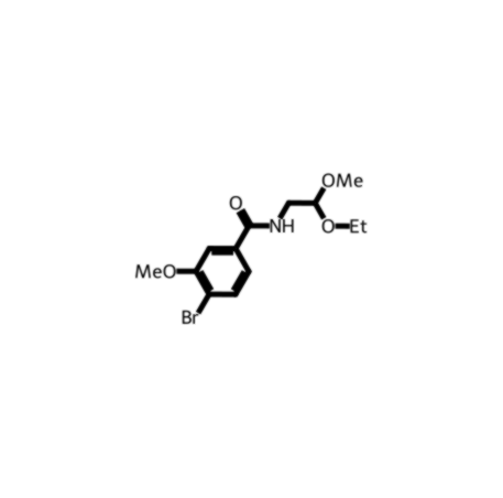 CCOC(CNC(=O)c1ccc(Br)c(OC)c1)OC